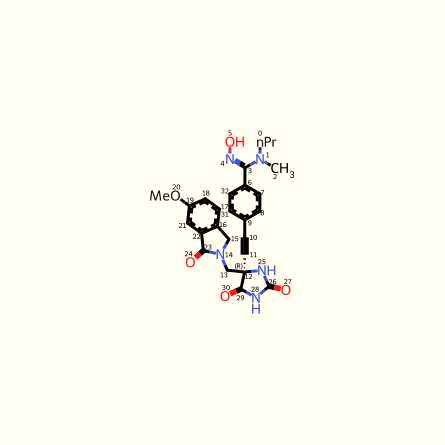 CCCN(C)C(=NO)c1ccc(C#C[C@]2(CN3Cc4ccc(OC)cc4C3=O)NC(=O)NC2=O)cc1